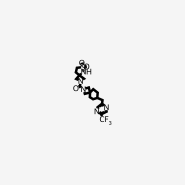 O=C(N1CC2(CCC(Cc3cnc(C(F)(F)F)cn3)CC2)C1)N1CC2(CCS(=O)(=O)N2)C1